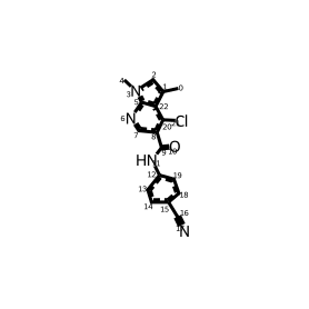 Cc1cn(C)c2ncc(C(=O)Nc3ccc(C#N)cc3)c(Cl)c12